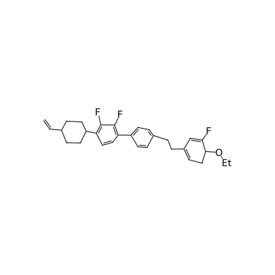 C=CC1CCC(c2ccc(-c3ccc(CCC4=CCC(OCC)C(F)=C4)cc3)c(F)c2F)CC1